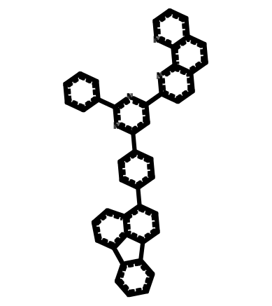 c1ccc(-c2nc(-c3ccc(-c4ccc5c6c(cccc46)-c4ccccc4-5)cc3)cc(-c3ccc4ccc5cccnc5c4n3)n2)cc1